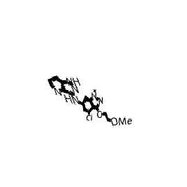 COCCOc1nn(C)c2cc(Nc3n[nH]c4cccnc34)cc(Cl)c12